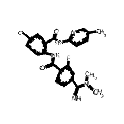 Cc1ccc(NC(=O)c2cc(Cl)ccc2NC(=O)c2ccc(C(=N)N(C)C)cc2F)nc1